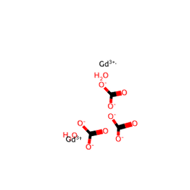 O.O.O=C([O-])[O-].O=C([O-])[O-].O=C([O-])[O-].[Gd+3].[Gd+3]